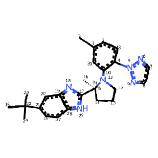 Cc1c[c]c(-n2nccn2)c(N2CCC[C@@]2(C)c2nc3cc(C(C)(C)C)ccc3[nH]2)c1